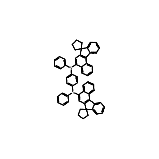 c1ccc(N(c2ccc(N(c3ccccc3)c3cc4c(c5ccccc35)-c3ccccc3C43CCCC3)cc2)c2cc3c(c4ccccc24)-c2ccccc2C32CCCC2)cc1